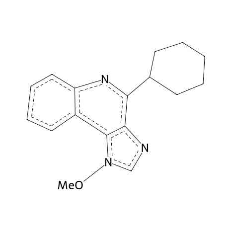 COn1cnc2c(C3CCCCC3)nc3ccccc3c21